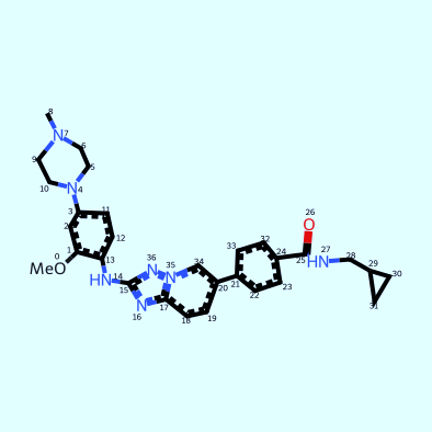 COc1cc(N2CCN(C)CC2)ccc1Nc1nc2ccc(-c3ccc(C(=O)NCC4CC4)cc3)cn2n1